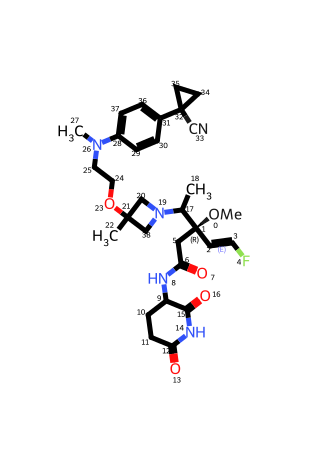 CO[C@@](/C=C/F)(CC(=O)NC1CCC(=O)NC1=O)C(C)N1CC(C)(OCCN(C)c2ccc(C3(C#N)CC3)cc2)C1